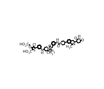 CC1=NC(C2CCC(=O)NC2=O)Cc2ccc(C3CCN(C(=O)Nc4cccc(CS(=O)(=O)N5CC[C@H](Nc6cccc(-c7sc(C(=O)O)c(OCC(=O)O)c7Cl)c6)CC5(C)C)c4)CC3)cc21